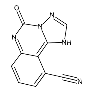 N#Cc1cccc2nc(=O)n3nc[nH]c3c12